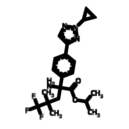 CC(C)OC(=O)C(N)(CC(C)(C)C(F)(F)F)c1ccc(-c2cnn(C3CC3)n2)cc1